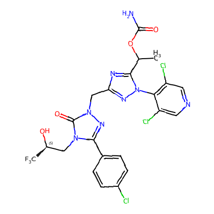 CC(OC(N)=O)c1nc(Cn2nc(-c3ccc(Cl)cc3)n(C[C@H](O)C(F)(F)F)c2=O)nn1-c1c(Cl)cncc1Cl